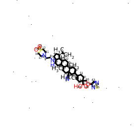 C=C(C)[C@@H]1CC[C@]2(NCCN3CCS(=O)(=O)CC3)CCC3[C@H](CCC4[C@@]3(C)CCC3(C#N)C(C)(C)C(C5=CCC(COc6cnsn6)(C(=O)O)CC5)=CC[C@]43C)C12